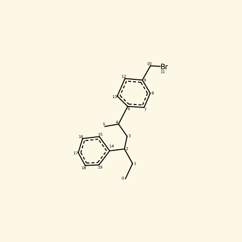 CCC(CC(C)c1ccc(CBr)cc1)c1ccccc1